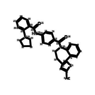 CC(=O)c1cc2c(s1)-c1ccccc1N(C(=O)c1ccc(NC(=O)c3cccnc3N3CCCC3)cc1)CC2